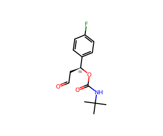 CC(C)(C)NC(=O)O[C@@H](CC=O)c1ccc(F)cc1